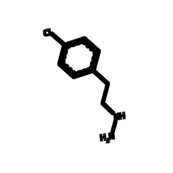 NNCCc1ccc(Cl)cc1